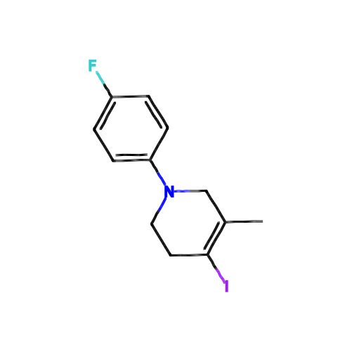 CC1=C(I)CCN(c2ccc(F)cc2)C1